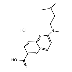 CN(C)CCN(C)c1ccc2cc(C(=O)O)ccc2n1.Cl